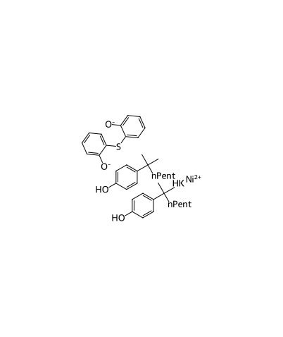 CCCCCC(C)(C)c1ccc(O)cc1.CCCCCC(C)(C)c1ccc(O)cc1.[KH].[Ni+2].[O-]c1ccccc1Sc1ccccc1[O-]